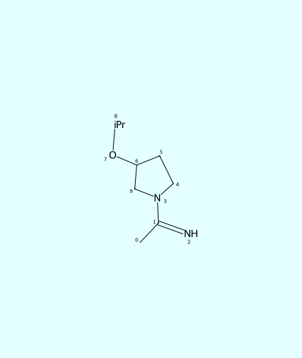 CC(=N)N1CCC(OC(C)C)C1